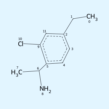 CCc1ccc(C(C)N)c(Cl)c1